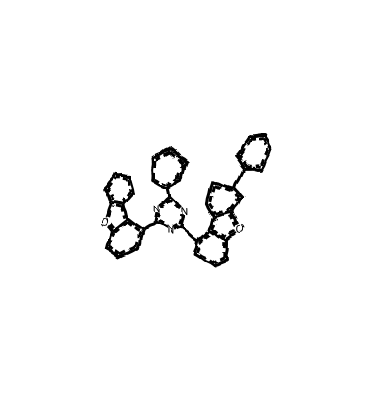 c1ccc(-c2ccc3c(c2)oc2cccc(-c4nc(-c5ccccc5)nc(-c5cccc6oc7ccccc7c56)n4)c23)cc1